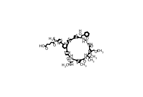 CNC(=O)C[C@@H]1NC(=O)c2csc(n2)-c2ccc(-c3nc(N(C)C(=O)CCCC(=O)O)cs3)nc2-c2csc(n2)-c2csc(n2)[C@H]([C@@H](O)c2ccccc2)NC(=O)CNC(=O)c2nc(sc2COC)C(C(C)C)NC(=O)c2nc1sc2C